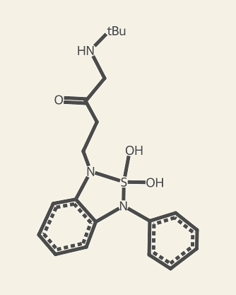 CC(C)(C)NCC(=O)CCN1c2ccccc2N(c2ccccc2)S1(O)O